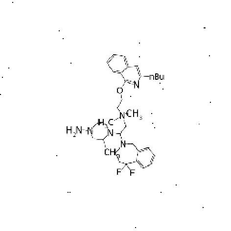 CCCCc1cc2ccccc2c(OCC[N+](C)(C)CC(N2CCC(F)(F)c3ccccc3C2)N2CCN(N)CC2C)n1